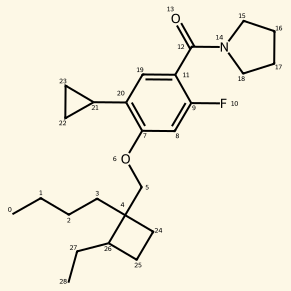 CCCCC1(COc2cc(F)c(C(=O)N3CCCC3)cc2C2CC2)CCC1CC